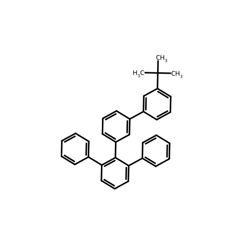 CC(C)(C)c1cccc(-c2cccc(-c3c(-c4ccccc4)cccc3-c3ccccc3)c2)c1